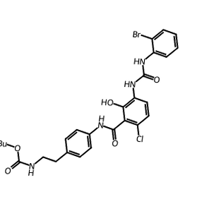 CC(C)(C)OC(=O)NCCc1ccc(NC(=O)c2c(Cl)ccc(NC(=O)Nc3ccccc3Br)c2O)cc1